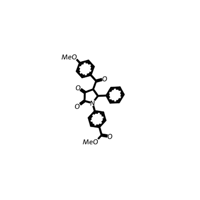 COC(=O)c1ccc(N2C(=O)C(=O)C(C(=O)c3ccc(OC)cc3)C2c2ccccc2)cc1